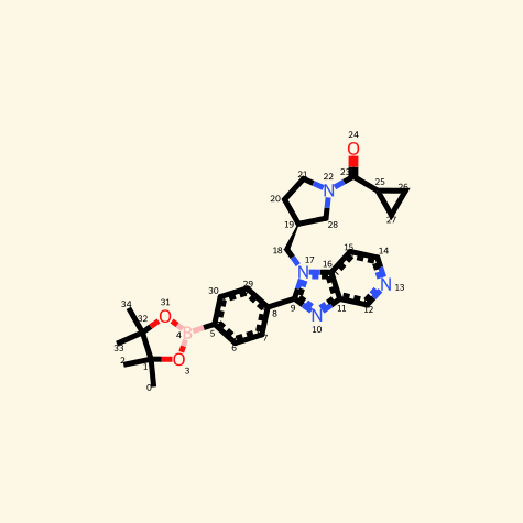 CC1(C)OB(c2ccc(-c3nc4cnccc4n3C[C@H]3CCN(C(=O)C4CC4)C3)cc2)OC1(C)C